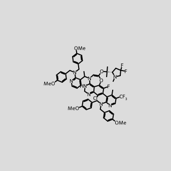 COc1ccc(CN(Cc2ccc(OC)cc2)c2ncccc2C(C)N2C=C(OC(C)(C)[C@@H]3CC(F)(F)CN3C)Oc3c(F)c(-c4c(N(Cc5ccc(OC)cc5)Cc5ccc(OC)cc5)ncc(C(F)(F)F)c4C)c(Cl)c4c3=C2NCN=4)cc1